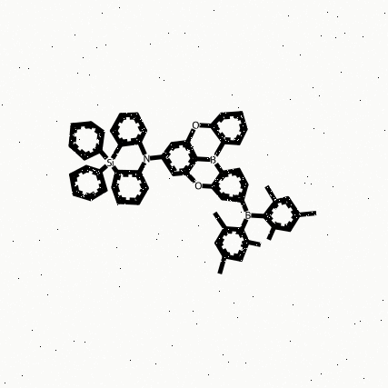 Cc1cc(C)c(B(c2ccc3c(c2)Oc2cc(N4c5ccccc5[Si](c5ccccc5)(c5ccccc5)c5ccccc54)cc4c2B3c2ccccc2O4)c2c(C)cc(C)cc2C)c(C)c1